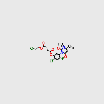 Cn1c(C(F)(F)F)cc(=O)n(-c2cc(OC(=O)CCC(=O)OCCCl)c(Cl)cc2F)c1=O